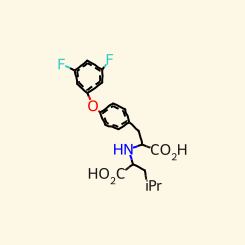 CC(C)CC(NC(Cc1ccc(Oc2cc(F)cc(F)c2)cc1)C(=O)O)C(=O)O